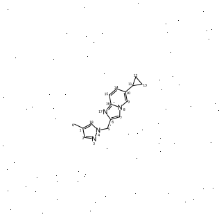 Cc1cnn(Cc2cn3cc(C4CC4)ccc3n2)c1